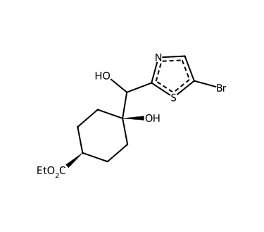 CCOC(=O)[C@H]1CC[C@](O)(C(O)c2ncc(Br)s2)CC1